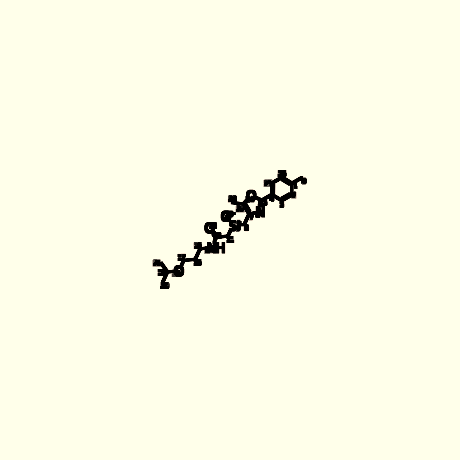 Cc1ccc(-c2nc(C[S+]([O-])CC(=O)NCCCOC(C)C)c(C)o2)cc1